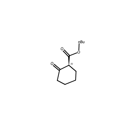 CCCCOC(=O)[C@H]1CCCCC1=O